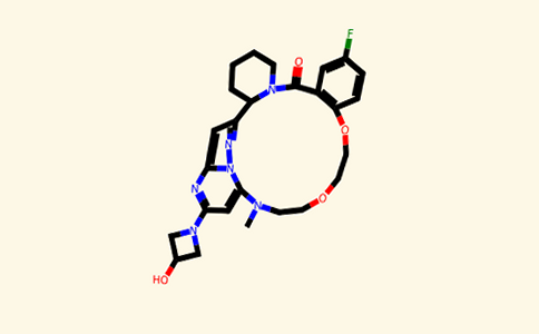 CN1CCOCCOc2ccc(F)cc2C(=O)N2CCCCC2c2cc3nc(N4CC(O)C4)cc1n3n2